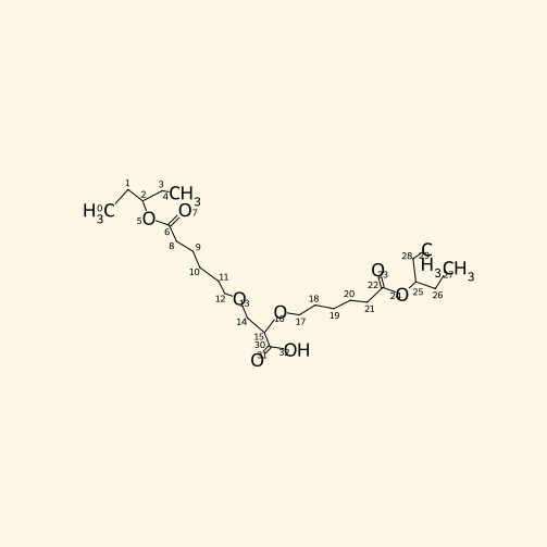 CCC(CC)OC(=O)CCCCCOCC(OCCCCCC(=O)OC(CC)CC)C(=O)O